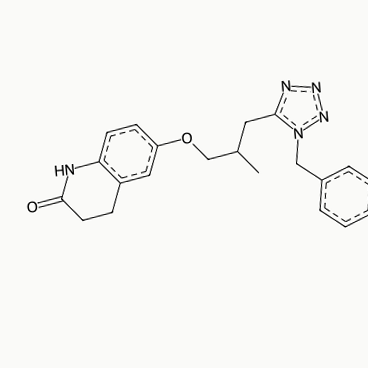 CC(COc1ccc2c(c1)CCC(=O)N2)Cc1nnnn1Cc1ccccc1